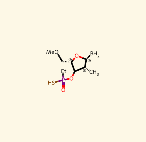 B[C@@H]1O[C@@H](COC)C(OP(=O)(S)CC)[C@H]1C